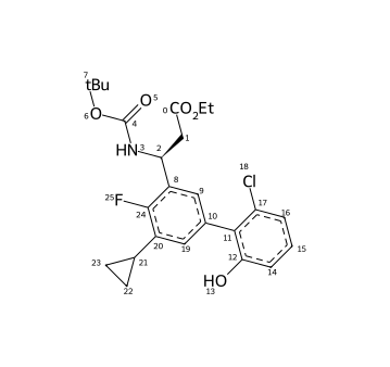 CCOC(=O)C[C@H](NC(=O)OC(C)(C)C)c1cc(-c2c(O)cccc2Cl)cc(C2CC2)c1F